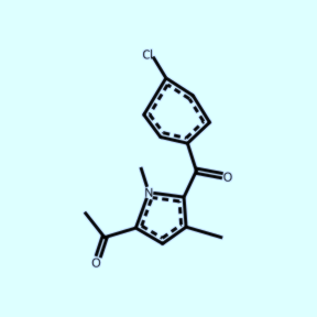 CC(=O)c1cc(C)c(C(=O)c2ccc(Cl)cc2)n1C